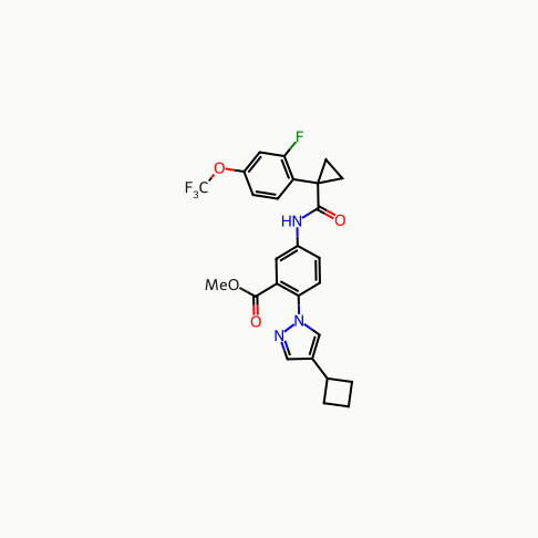 COC(=O)c1cc(NC(=O)C2(c3ccc(OC(F)(F)F)cc3F)CC2)ccc1-n1cc(C2CCC2)cn1